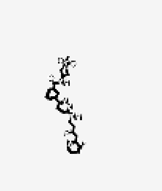 CS(=O)(=O)N1CC(NC(=O)c2cccc(-c3ccc(NCC[C@H](F)Cc4ncccc4F)nn3)c2)C1